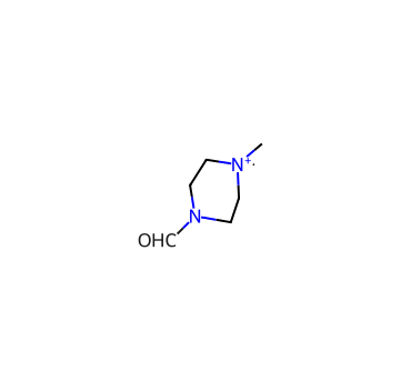 C[N+]1CCN(C=O)CC1